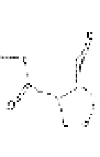 COC(=O)C1CSCC1=C=O